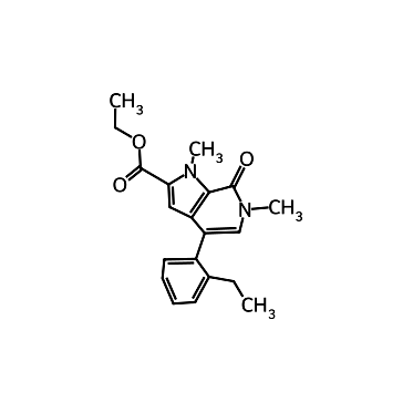 CCOC(=O)c1cc2c(-c3ccccc3CC)cn(C)c(=O)c2n1C